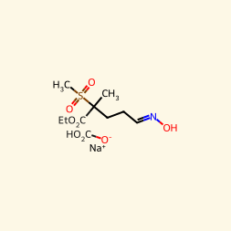 CCOC(=O)C(C)(CCC=NO)S(C)(=O)=O.O=C([O-])O.[Na+]